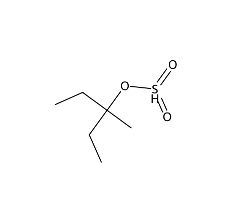 CCC(C)(CC)O[SH](=O)=O